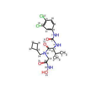 CC(C)[C@H](NC(=O)Nc1ccc(Cl)c(Cl)c1)C(=O)N(CC(=O)NO)CC1CCC1